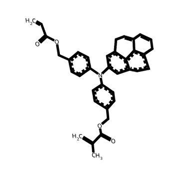 C=CC(=O)OCc1ccc(N(c2ccc(COC(=O)C(=C)C)cc2)c2cc3c4c5c(ccc4c2)CC=CC5=CC3)cc1